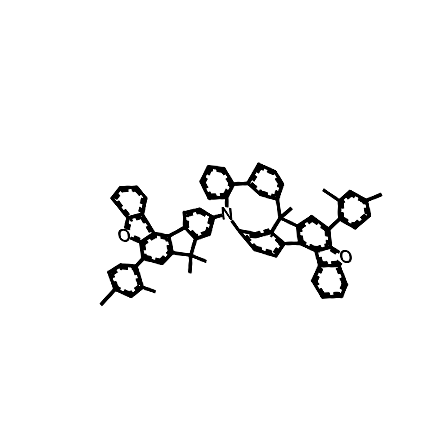 Cc1ccc(-c2cc3c(c4c2oc2ccccc24)-c2ccc(N4c5ccc6c(c5)C(C)(c5cccc(c5)-c5ccccc54)c4cc(-c5ccc(C)cc5C)c5oc7ccccc7c5c4-6)cc2C3(C)C)c(C)c1